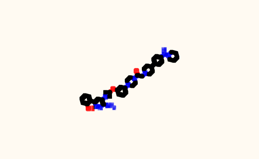 Nc1nnc(-c2ccccc2O)cc1N1CC(Oc2cccc(N3CCN(C(=O)CN4CCC(c5ccc(NN6CCCCC6)cc5)CC4)CC3)c2)C1